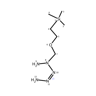 C[Si](C)(C)CCOCN(N)/N=N\N